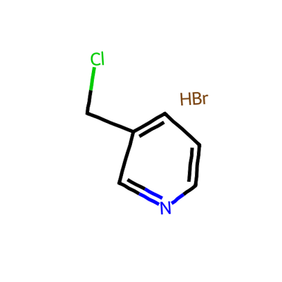 Br.ClCc1cccnc1